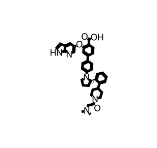 CN(C)CC(=O)N1CCC(c2ccccc2[C@H]2CCCN2c2ccc(-c3ccc(C(=O)O)c(Oc4cnc5[nH]ccc5c4)c3)cc2)CC1